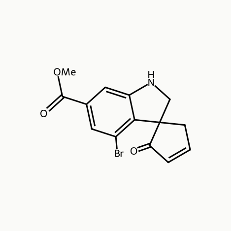 COC(=O)c1cc(Br)c2c(c1)NCC21CC=CC1=O